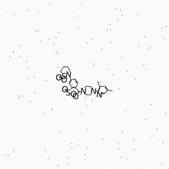 Cc1cnc(N2CCN(C(=O)c3ccc(N4CCCCS4(=O)=O)cc3S(C)(=O)=O)CC2)c(C)c1